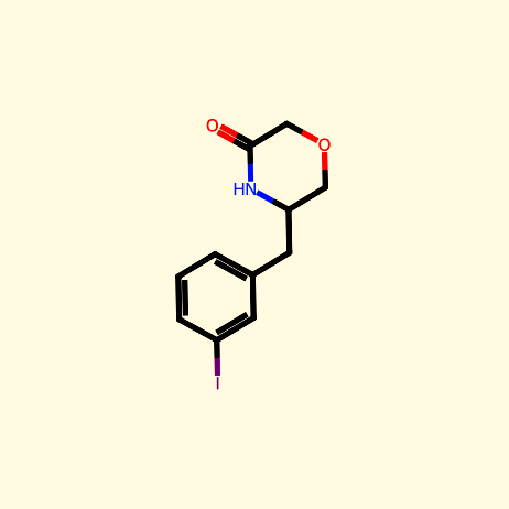 O=C1COCC(Cc2cccc(I)c2)N1